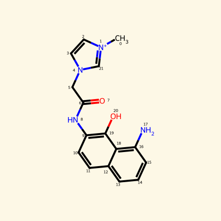 C[n+]1ccn(CC(=O)Nc2ccc3cccc(N)c3c2O)c1